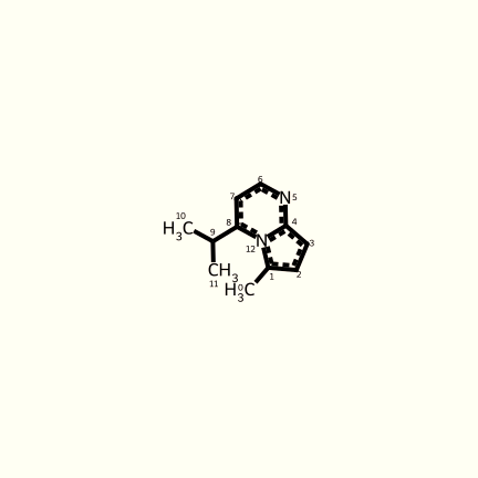 Cc1ccc2nccc(C(C)C)n12